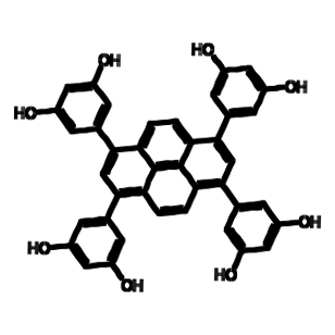 Oc1cc(O)cc(-c2cc(-c3cc(O)cc(O)c3)c3ccc4c(-c5cc(O)cc(O)c5)cc(-c5cc(O)cc(O)c5)c5ccc2c3c54)c1